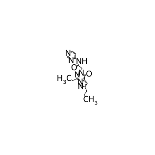 CCCc1cc2c(=O)n(CC(=O)Nc3ccncn3)nc(CC)n2n1